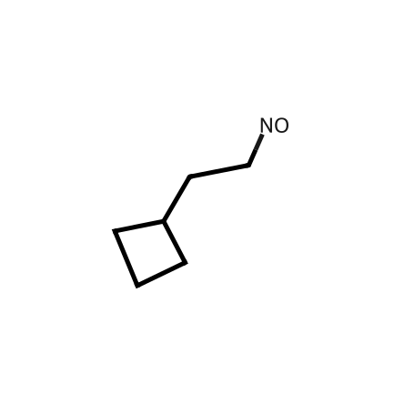 O=NCCC1CCC1